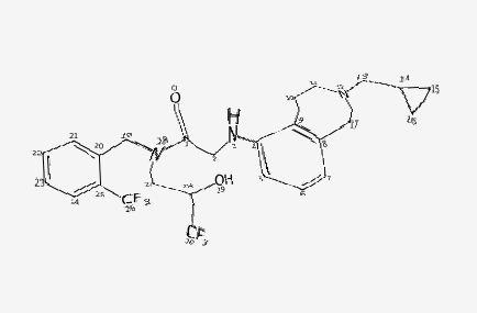 O=C(CNc1cccc2c1CCN(CC1CC1)C2)N(Cc1ccccc1C(F)(F)F)CC(O)C(F)(F)F